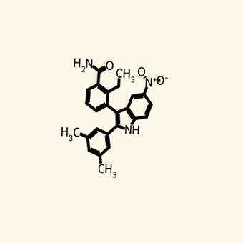 CCc1c(C(N)=O)cccc1-c1c(-c2cc(C)cc(C)c2)[nH]c2ccc([N+](=O)[O-])cc12